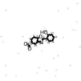 O=[N+]([O-])c1ccc2oc(-c3ccccc3O)nc2c1